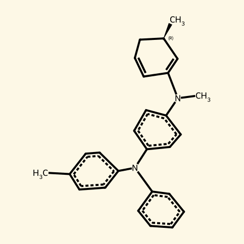 Cc1ccc(N(c2ccccc2)c2ccc(N(C)C3=C[C@H](C)CC=C3)cc2)cc1